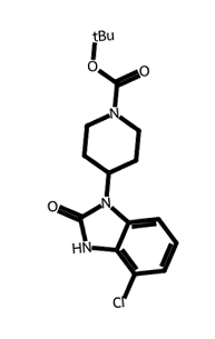 CC(C)(C)OC(=O)N1CCC(n2c(=O)[nH]c3c(Cl)cccc32)CC1